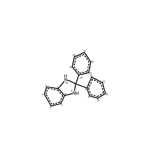 [c]1ccc2c(c1)NC(c1ccccc1)(c1ccccc1)N2